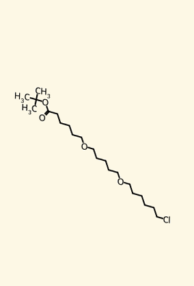 CC(C)(C)OC(=O)CCCCCOCCCCCOCCCCCCCl